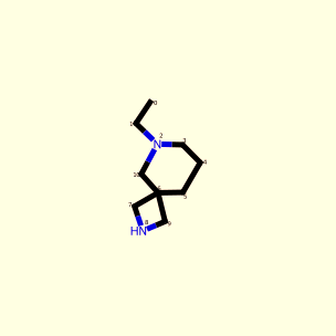 CCN1CCCC2(CNC2)C1